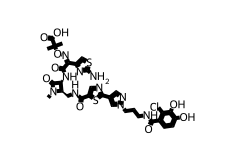 CN1C(=O)[C@@H](NC(=O)/C(=N\OC(C)(C)C(=O)O)c2csc(N)n2)[C@H]1CNC(=O)c1cnc(-c2cnn(CCCNC(=O)c3ccc(O)c(O)c3Cl)c2)s1